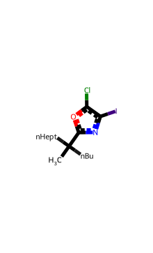 CCCCCCCC(C)(CCCC)c1nc(I)c(Cl)o1